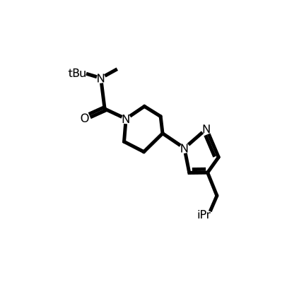 CC(C)Cc1cnn(C2CCN(C(=O)N(C)C(C)(C)C)CC2)c1